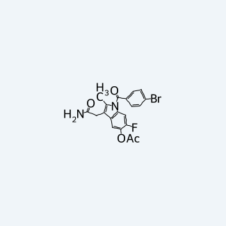 CC(=O)Oc1cc2c(CC(N)=O)c(C)n(C(=O)c3ccc(Br)cc3)c2cc1F